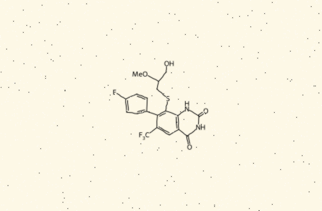 COC(CO)CSc1c(-c2ccc(F)cc2)c(C(F)(F)F)cc2c(=O)[nH]c(=O)[nH]c12